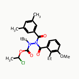 CCc1c(OC)cccc1C(=O)N(C(=O)c1cc(C)cc(C)c1)N(C(=O)OC(C)Cl)C(C)(C)C